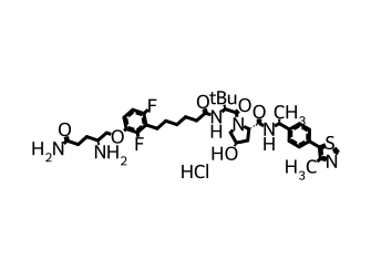 Cc1ncsc1-c1ccc([C@H](C)NC(=O)[C@@H]2C[C@@H](O)CN2C(=O)[C@@H](NC(=O)CCCCCc2c(F)ccc(OC[C@@H](N)CCC(N)=O)c2F)C(C)(C)C)cc1.Cl